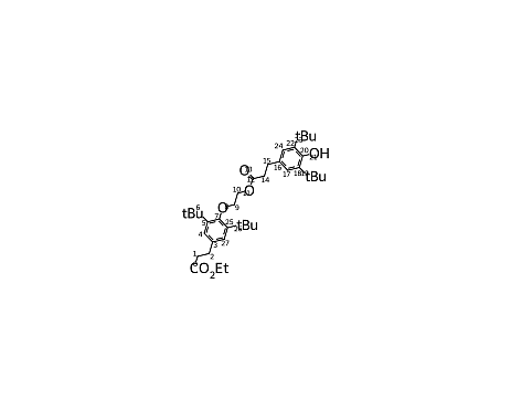 CCOC(=O)CCc1cc(C(C)(C)C)c(OCCOC(=O)CCc2cc(C(C)(C)C)c(O)c(C(C)(C)C)c2)c(C(C)(C)C)c1